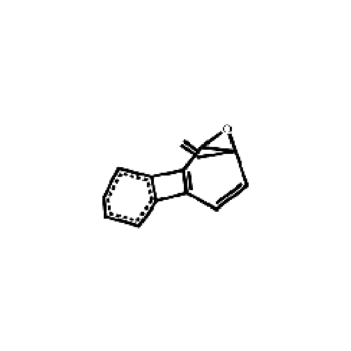 C=CC12C=CC3=C(c4ccccc43)C1O2